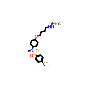 CCCCCNCCCCOC1CCC(N(C)S(=O)(=O)c2ccc(C(F)(F)F)cc2)CC1